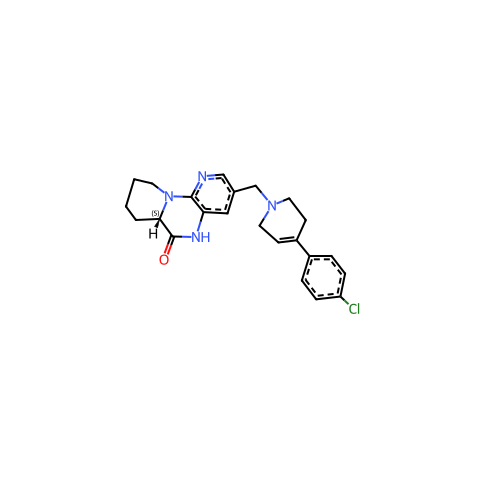 O=C1Nc2cc(CN3CC=C(c4ccc(Cl)cc4)CC3)cnc2N2CCCC[C@@H]12